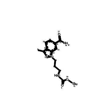 Cc1nn(CCCNC(=O)OC(C)(C)C)c2cc(C(N)=O)ccc12